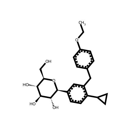 CCOc1ccc(Cc2cc([C@@H]3O[C@H](CO)[C@@H](O)[C@H](O)[C@H]3O)ccc2C2CC2)cc1